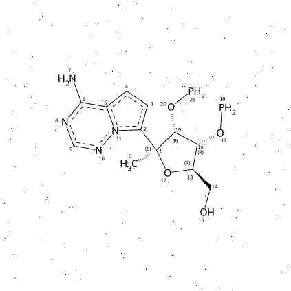 C[C@@]1(c2ccc3c(N)ncnn23)O[C@H](CO)[C@@H](OP)[C@H]1OP